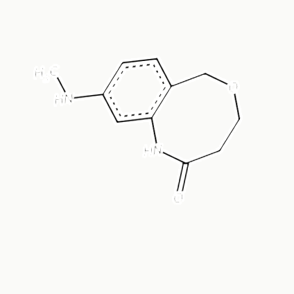 CNc1ccc2c(c1)NC(=O)CCOC2